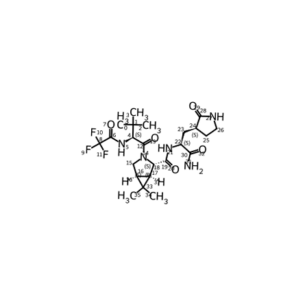 CC(C)(C)[C@H](NC(=O)C(F)(F)F)C(=O)N1C[C@H]2[C@@H]([C@H]1C(=O)N[C@@H](C[C@@H]1CCNC1=O)C(N)=O)C2(C)C